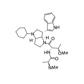 CN[C@@H](C)C(=O)N[C@H](C(=O)N1CC[C@@H]2[C@H]1[C@@H](c1c[nH]c3ccccc13)CN2C1CCCCC1)[C@@H](C)OC